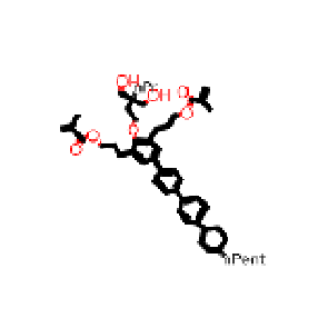 C=C(C)C(=O)OCCCc1cc(-c2ccc(-c3ccc(C4CCC(CCCCC)CC4)cc3)cc2)cc(CCCOC(=O)C(=C)C)c1OCCC(CO)(CO)CCC